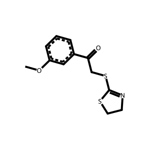 COc1cccc(C(=O)CSC2=NCCS2)c1